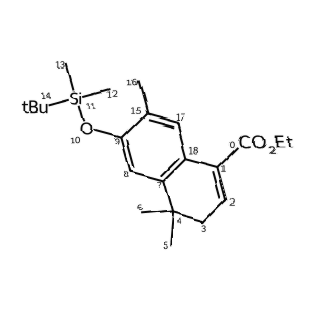 CCOC(=O)C1=CCC(C)(C)c2cc(O[Si](C)(C)C(C)(C)C)c(C)cc21